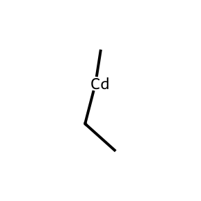 C[CH2][Cd][CH3]